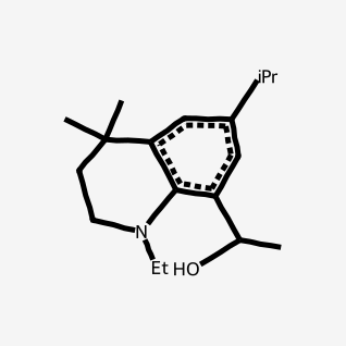 CCN1CCC(C)(C)c2cc(C(C)C)cc(C(C)O)c21